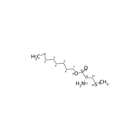 CCCCCCCCOC(=O)[C@@H](N)CSC